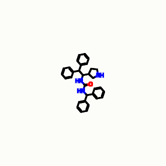 O=C(NC(c1ccccc1)c1ccccc1)NC(C1CCNC1)C(c1ccccc1)c1ccccc1